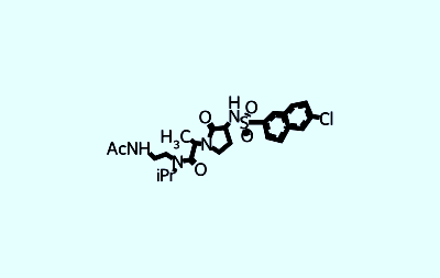 CC(=O)NCCN(C(=O)C(C)N1CCC(NS(=O)(=O)c2ccc3cc(Cl)ccc3c2)C1=O)C(C)C